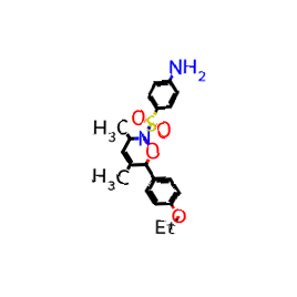 CCOc1ccc(C2ON(S(=O)(=O)c3ccc(N)cc3)C(C)C=C2C)cc1